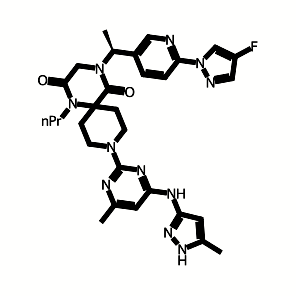 CCCN1C(=O)CN([C@@H](C)c2ccc(-n3cc(F)cn3)nc2)C(=O)C12CCN(c1nc(C)cc(Nc3cc(C)[nH]n3)n1)CC2